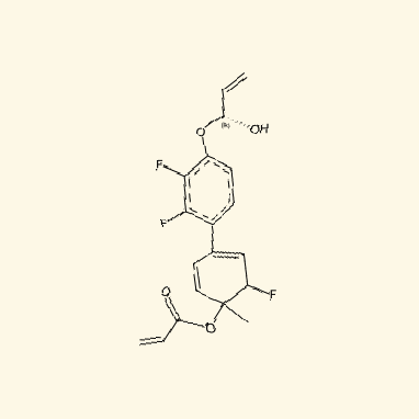 C=CC(=O)OC1(C)C=CC(c2ccc(O[C@@H](O)C=C)c(F)c2F)=CC1F